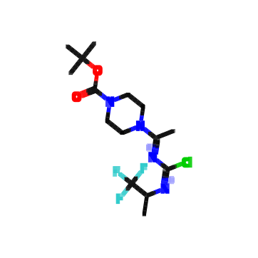 C/C(=N\C(Cl)=N/C(C)C(F)(F)F)N1CCN(C(=O)OC(C)(C)C)CC1